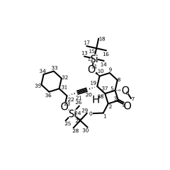 CCC1C(=O)[C@]2(OC)CC[C@H](O[Si](C)(C)C(C)(C)C)[C@@H](C#C[C@H](O[Si](C)(C)C(C)(C)C)C3CCCCC3)[C@H]12